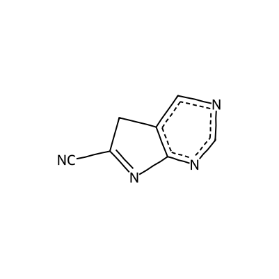 N#CC1=Nc2ncncc2C1